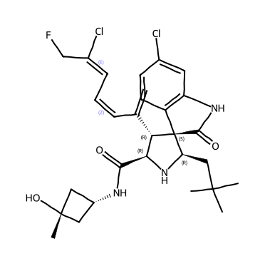 C=C(/C=C\C=C(\Cl)CF)[C@H]1[C@H](C(=O)N[C@H]2C[C@@](C)(O)C2)N[C@H](CC(C)(C)C)[C@]12C(=O)Nc1cc(Cl)ccc12